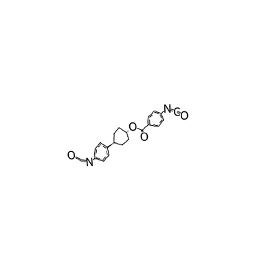 O=C=Nc1ccc(C(=O)O[C@H]2CC[C@H](c3ccc(N=C=O)cc3)CC2)cc1